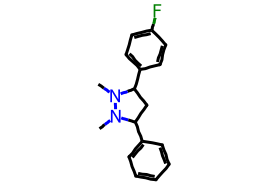 CN1C(c2ccccc2)CC(c2ccc(F)cc2)N1C